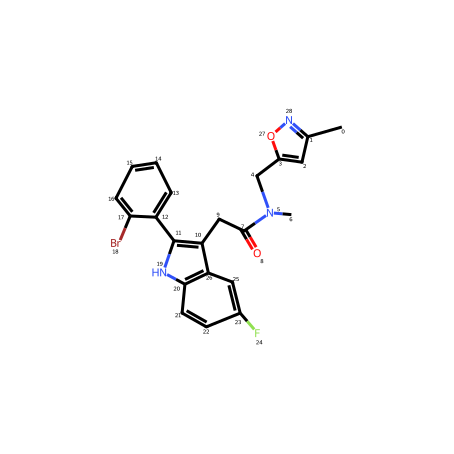 Cc1cc(CN(C)C(=O)Cc2c(-c3ccccc3Br)[nH]c3ccc(F)cc23)on1